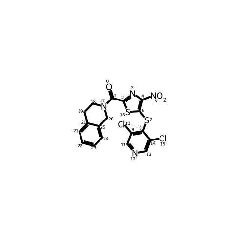 O=C(c1nc([N+](=O)[O-])c(Sc2c(Cl)cncc2Cl)s1)N1CCc2ccccc2C1